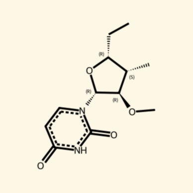 CC[C@H]1O[C@@H](n2ccc(=O)[nH]c2=O)[C@H](OC)[C@H]1C